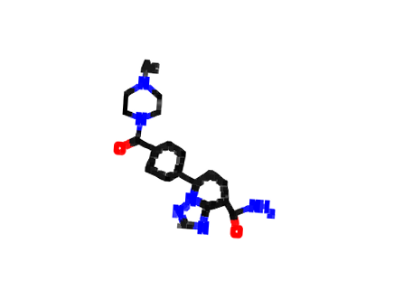 CC(=O)N1CCN(C(=O)c2ccc(-c3ccc(C(N)=O)c4n[c]nn34)cc2)CC1